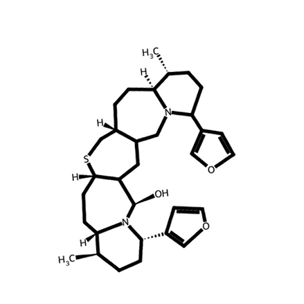 C[C@@H]1CCC(c2ccoc2)N2CC3CC4[C@H](CC[C@H]5[C@H](C)CC[C@@H](c6ccoc6)N5[C@@H]4O)SC[C@@H]3CC[C@@H]12